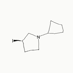 I[C@@H]1CCN(C2CCC2)C1